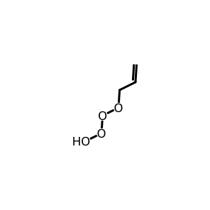 C=CCOOOO